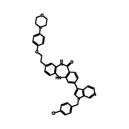 O=C1Nc2cc(CCOc3ccc(N4CCOCC4)cc3)ccc2Nc2cc(-c3cn(Cc4ccc(Cl)cc4)c4cnccc34)ccc21